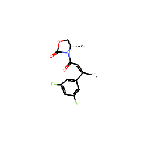 CC[C@H]1COC(=O)N1C(=O)/C=C(\c1cc(F)cc(F)c1)C(F)(F)F